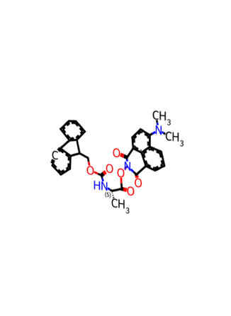 C[C@H](NC(=O)OCC1c2ccccc2-c2ccccc21)C(=O)ON1C(=O)c2cccc3c(N(C)C)ccc(c23)C1=O